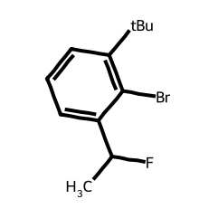 CC(F)c1cccc(C(C)(C)C)c1Br